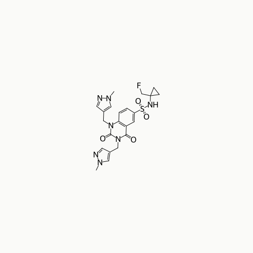 Cn1cc(Cn2c(=O)c3cc(S(=O)(=O)NC4(CF)CC4)ccc3n(Cc3cnn(C)c3)c2=O)cn1